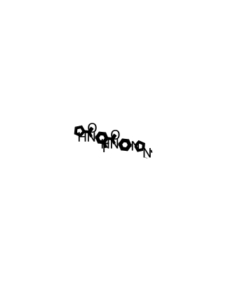 CN(C)C1CCN(c2ccc(NC(=O)c3ccc(NC(=O)C4CCCC4)cc3F)cc2)C1